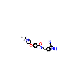 CN1CCC(Oc2ccc(C(=O)NCCc3ccc4[nH]cc(C#N)c4c3)cc2)CC1